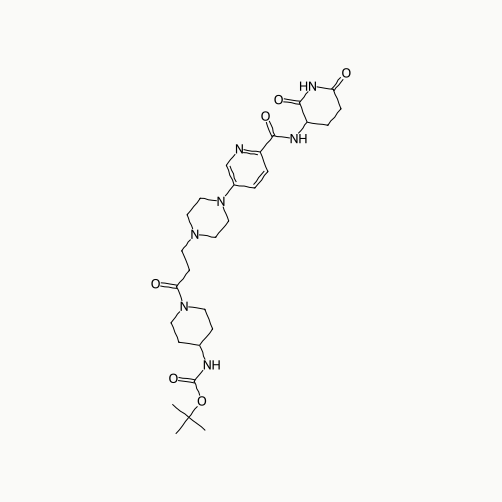 CC(C)(C)OC(=O)NC1CCN(C(=O)CCN2CCN(c3ccc(C(=O)NC4CCC(=O)NC4=O)nc3)CC2)CC1